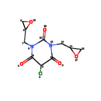 O=C1C(Cl)C(=O)N(CC2CO2)C(=O)N1CC1CO1